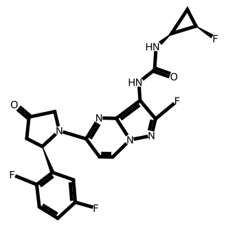 O=C1C[C@H](c2cc(F)ccc2F)N(c2ccn3nc(F)c(NC(=O)N[C@H]4C[C@H]4F)c3n2)C1